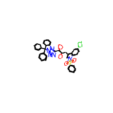 O=C(Cc1cn(S(=O)(=O)c2ccccc2)c2ccc(Cl)cc12)C(=O)c1nnn(C(c2ccccc2)(c2ccccc2)c2ccccc2)n1